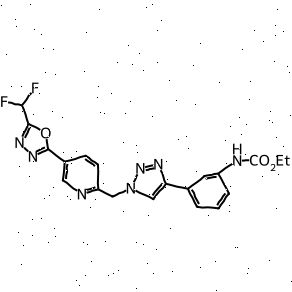 CCOC(=O)Nc1cccc(-c2cn(Cc3ccc(-c4nnc(C(F)F)o4)cn3)nn2)c1